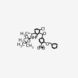 CC[C@@H](NC(=O)OC(C)(C)C)c1ccc(Cl)c(C(=O)c2ccc([N+](=O)[O-])c(OCc3ccccc3)c2)c1F